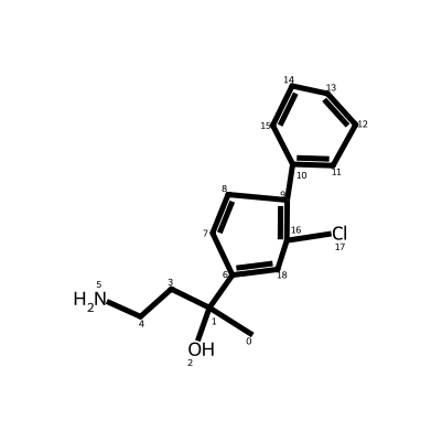 CC(O)(CCN)c1ccc(-c2ccccc2)c(Cl)c1